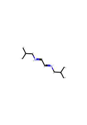 CC(C)CN=CC=NCC(C)C